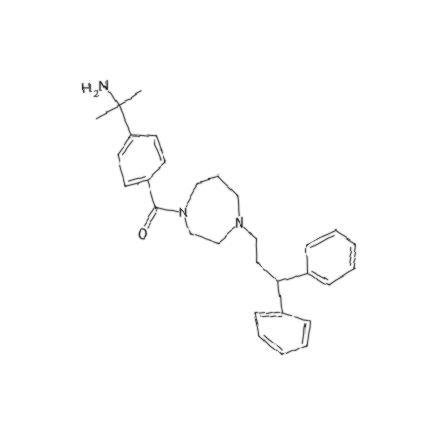 CC(C)(N)c1ccc(C(=O)N2CCCN(CCC(c3ccccc3)c3ccccc3)CC2)cc1